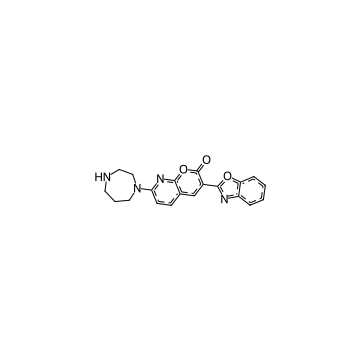 O=c1oc2nc(N3CCCNCC3)ccc2cc1-c1nc2ccccc2o1